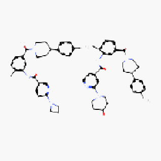 Cc1ccc(C(=O)N2CCC(c3ccc(C#N)cc3)CC2)cc1NC(=O)c1ccc(N2CCC2)nc1.Cc1ccc(C(=O)N2CCC(c3ccc(C#N)cc3)CC2)cc1NC(=O)c1ccnc(N2CCC(O)CC2)c1